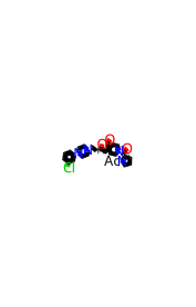 CC(=O)N1CCC[C@H]1C(=O)N1CCC2(CC1)C[C@H](CCN1CCN(c3cccc(Cl)c3)CC1)OC2=O